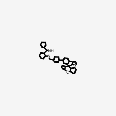 N=C(c1ccccc1)c1ccccc1/N=C/c1ccc(-c2ccc3c(c2)C2(c4ccccc4Oc4ccccc42)c2ncccc2-3)cc1